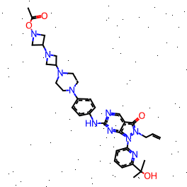 C=CCn1c(=O)c2cnc(Nc3ccc(N4CCN(C5CN(C6CN(OC(C)=O)C6)C5)CC4)cc3)nc2n1-c1cccc(C(C)(C)O)n1